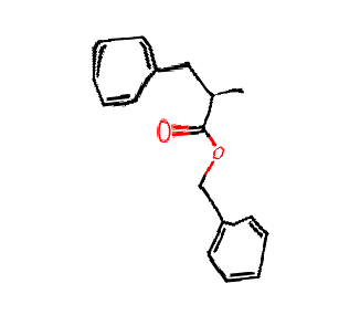 C[C@H](Cc1ccccc1)C(=O)OCc1ccccc1